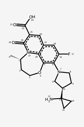 C[C@H]1CCOc2c(N3CC[C@@H](C4(N)CC4)C3)c(F)cc3cc(C(=O)O)c(=O)n1c23